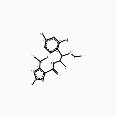 CC(NC(=O)c1cn(C)nc1C(F)F)C(OCI)c1ccc(Cl)cc1Cl